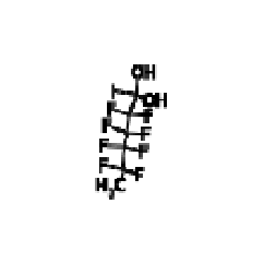 CC(F)(F)C(F)(F)C(F)(F)C(F)(F)C(O)(O)I